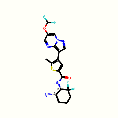 Cc1sc(C(=O)N[C@@H]2[C@@H](N)CCCC2(F)F)cc1-c1cnn2cc(OC(F)F)cnc12